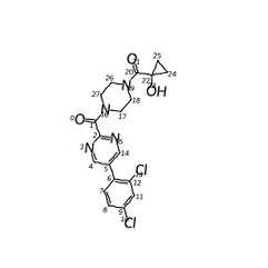 O=C(c1ncc(-c2ccc(Cl)cc2Cl)cn1)N1CCN(C(=O)C2(O)CC2)CC1